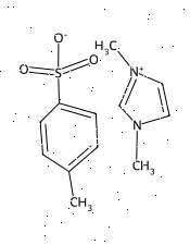 Cc1ccc(S(=O)(=O)[O-])cc1.Cn1cc[n+](C)c1